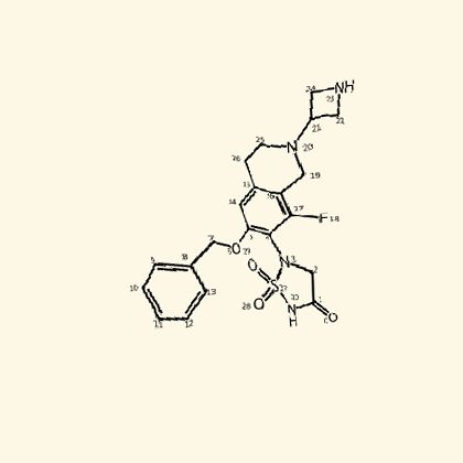 O=C1CN(c2c(OCc3ccccc3)cc3c(c2F)CN(C2CNC2)CC3)S(=O)(=O)N1